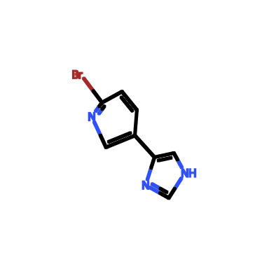 Brc1ccc(-c2c[nH]cn2)cn1